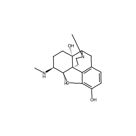 CN[C@H]1CC[C@@]2(O)C3Cc4ccc(O)c5c4[C@@]2(CCN3C)[C@H]1O5